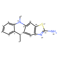 CCc1ccccc1N(C)c1ccc2nc(N)sc2c1